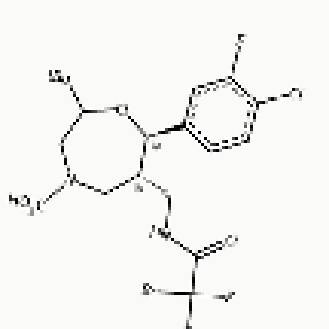 CC(C)(C)C1CN(C(=O)O)C[C@@H](CNC(=O)C(F)(F)Br)[C@H](c2ccc(Cl)c(F)c2)O1